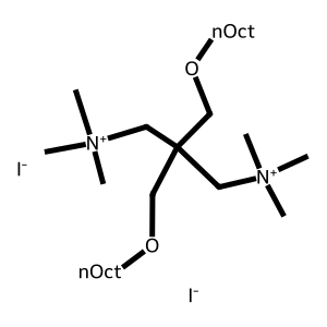 CCCCCCCCOCC(COCCCCCCCC)(C[N+](C)(C)C)C[N+](C)(C)C.[I-].[I-]